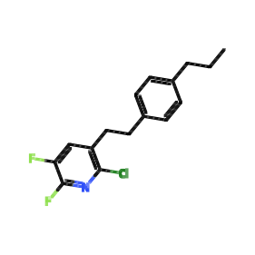 CCCc1ccc(CCc2cc(F)c(F)nc2Cl)cc1